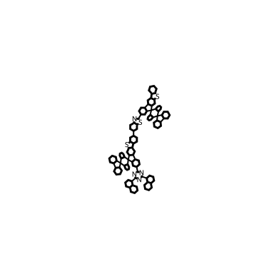 c1ccc2c(c1)-c1ccccc1C21c2ccccc2C2(c3cc(-c4nc5ccc(-c6ccc7c(c6)sc6cc8c(cc67)-c6ccc(-c7nc(-c9cccc%10ccccc9%10)nc(-c9cccc%10ccccc9%10)n7)cc6C86c7ccccc7C7(c8ccccc8-c8ccccc87)c7ccccc76)cc5s4)ccc3-c3cc4c(cc32)sc2ccccc24)c2ccccc21